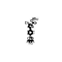 CCc1cc(-c2ccc(B3OC(C)(C)C(C)(C)O3)cc2)nn1C(=O)OC(C)(C)C